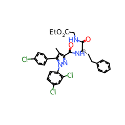 CCOC(=O)CNC(=O)[C@H](CCc1ccccc1)NC(=O)c1nn(-c2ccc(Cl)cc2Cl)c(-c2ccc(Cl)cc2)c1C